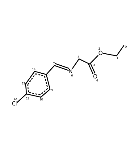 CCOC(=O)CN=Cc1ccc(Cl)cc1